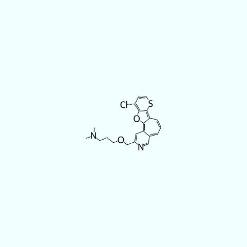 CN(C)CCCOCc1cc2c(cn1)=CC=Cc1c3c(oc1=2)=C(Cl)C=CS3